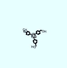 COc1ccc(B2OB(c3ccc(CO)cc3)OB(c3ccc(CO)cc3)O2)cc1